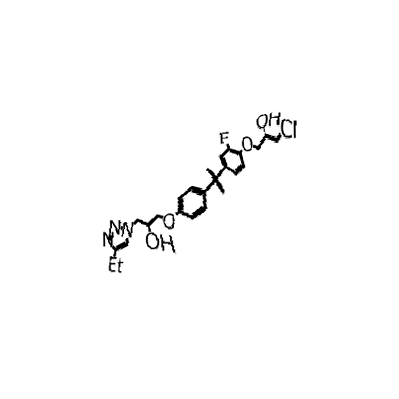 CCc1cn(C[C@H](O)COc2ccc(C(C)(C)c3ccc(OC[C@H](O)CCl)c(F)c3)cc2)nn1